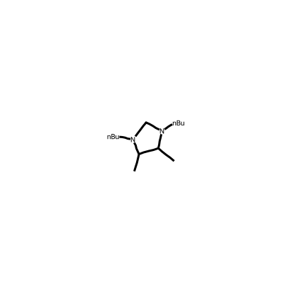 CCCCN1CN(CCCC)C(C)C1C